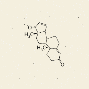 C[C@]12CCC(=O)C=C1CCC1C2CC[C@]2(C)C(=O)C=CC12